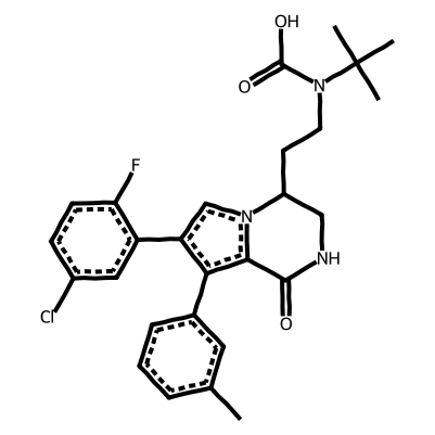 Cc1cccc(-c2c(-c3cc(Cl)ccc3F)cn3c2C(=O)NCC3CCN(C(=O)O)C(C)(C)C)c1